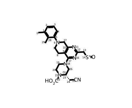 Cc1cccc(N2CCc3c(nc(C[S+]=O)nc3N3CCN(C(=O)O)[C@@H](CC#N)C3)C2)c1C